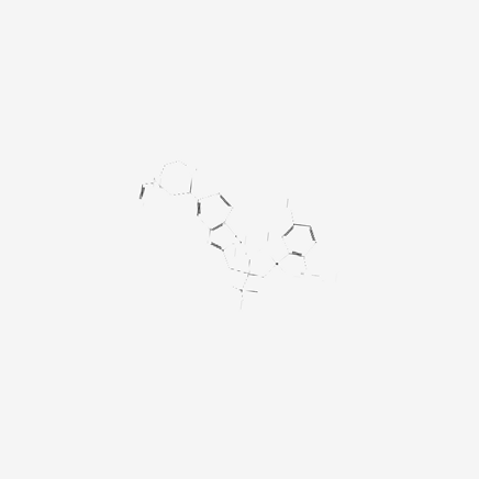 COc1ccc(F)cc1C(C)(C)CC(O)(Cc1cc2cc(C3CN(C=O)CCO3)ccc2[nH]1)C(F)(F)F